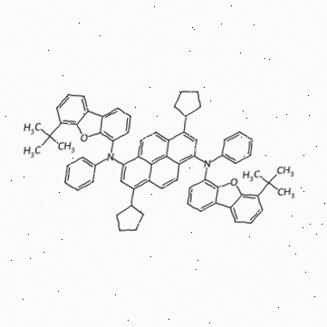 CC(C)(C)c1cccc2c1oc1c(N(c3ccccc3)c3cc(C4CCCC4)c4ccc5c(N(c6ccccc6)c6cccc7c6oc6c(C(C)(C)C)cccc67)cc(C6CCCC6)c6ccc3c4c65)cccc12